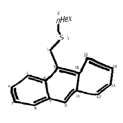 CCCCCCSCc1c2ccccc2cc2ccccc12